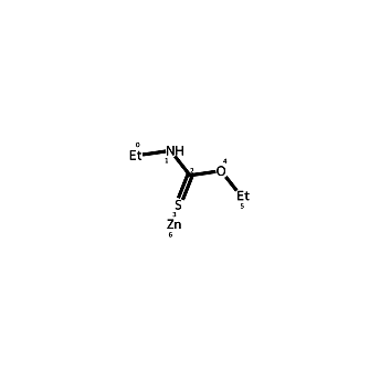 CCNC(=S)OCC.[Zn]